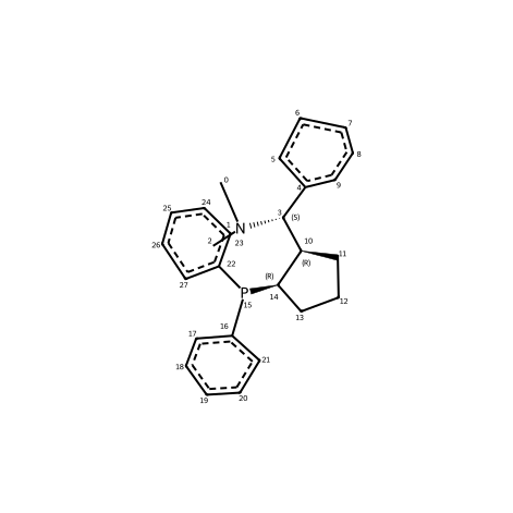 CN(C)[C@H](c1ccccc1)[C@H]1CCC[C@H]1P(c1ccccc1)c1ccccc1